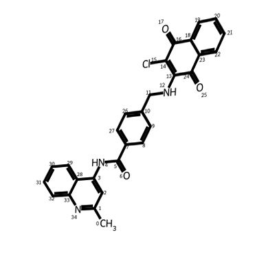 Cc1cc(NC(=O)c2ccc(CNC3=C(Cl)C(=O)c4ccccc4C3=O)cc2)c2ccccc2n1